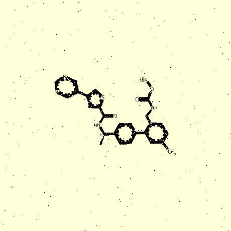 C[C@@H](NC(=O)c1cc(-c2cncnc2)cs1)c1ccc(-c2cc(C(F)(F)F)ccc2CNC(=O)OC(C)(C)C)cc1